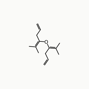 C=CCC(OC(CC=C)=C(C)C)=C(C)C